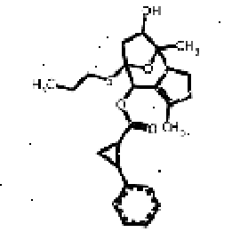 CCCSC12CC(O)C(C)(O1)C1CCC(C)=C1C2OC(=O)C1CC1c1ccccc1